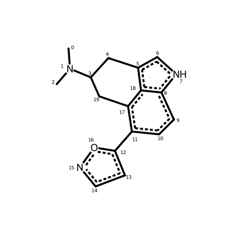 CN(C)C1Cc2c[nH]c3ccc(-c4ccno4)c(c23)C1